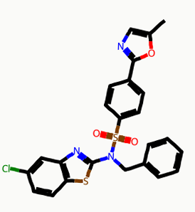 Cc1cnc(-c2ccc(S(=O)(=O)N(Cc3ccccc3)c3nc4cc(Cl)ccc4s3)cc2)o1